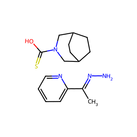 CC(=NN)c1ccccn1.OC(=S)N1CC2CCC(CC2)C1